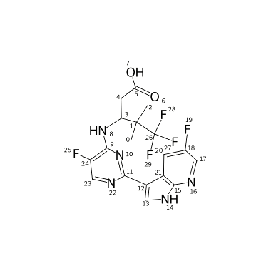 CC(C)(C(CC(=O)O)Nc1nc(-c2c[nH]c3ncc(F)cc23)ncc1F)C(F)(F)F